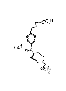 Cl.NCC1CCC(C(=O)c2ccc(CCCC(=O)O)cc2)CC1